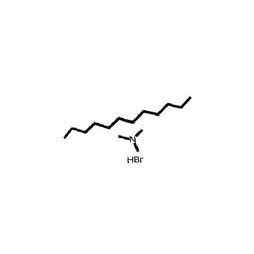 Br.CCCCCCCCCCCC.CN(C)C